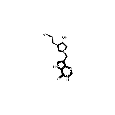 CCCSC[C@@H]1CN(Cc2c[nH]c3c(=O)[nH]cnc23)C[C@H]1O